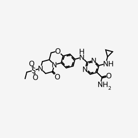 CCS(=O)(=O)N1CC(=O)N2c3ccc(Nc4ncc(C(N)=O)c(NC5CC5)n4)cc3OCC2C1